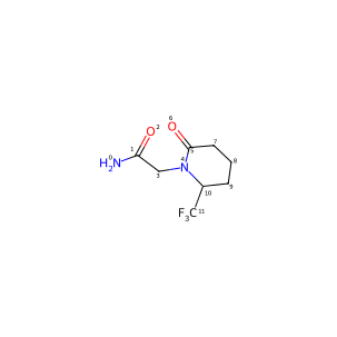 NC(=O)CN1C(=O)CCCC1C(F)(F)F